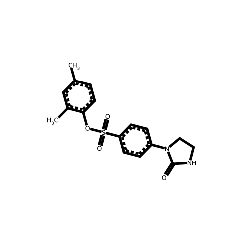 Cc1ccc(OS(=O)(=O)c2ccc(N3CCNC3=O)cc2)c(C)c1